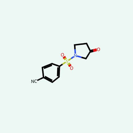 N#Cc1ccc(S(=O)(=O)N2CCC(=O)C2)cc1